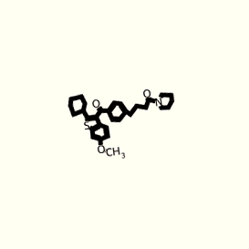 COc1ccc2c(C(=O)c3ccc(CCCC(=O)N4CCCCC4)cc3)c(C3CCCCC3)sc2c1